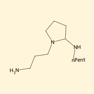 CCCCCNC1CCCN1CCCN